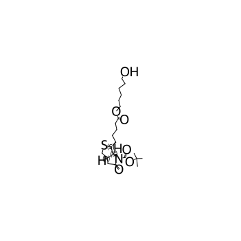 CC(C)(C)OC(=O)N1C(=O)C[C@H]2CS[C@@H](CCCCC(=O)OCCCCCCO)[C@H]21